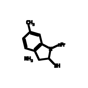 CCCN1c2cc(C)ccc2CC1S.N